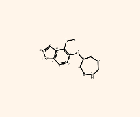 COc1c(OC2CCCNCC2)ccc2[nH]ncc12